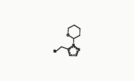 BrCc1ccnn1C1CCCCO1